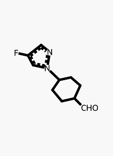 O=CC1CCC(n2cc(F)cn2)CC1